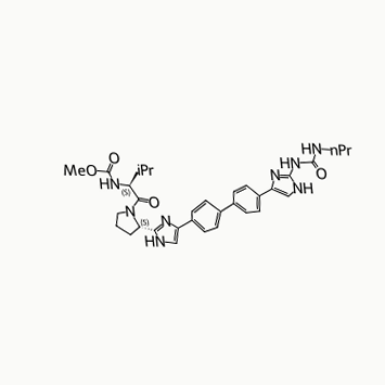 CCCNC(=O)Nc1nc(-c2ccc(-c3ccc(-c4c[nH]c([C@@H]5CCCN5C(=O)[C@@H](NC(=O)OC)C(C)C)n4)cc3)cc2)c[nH]1